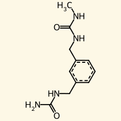 CNC(=O)NCc1cccc(CNC(N)=O)c1